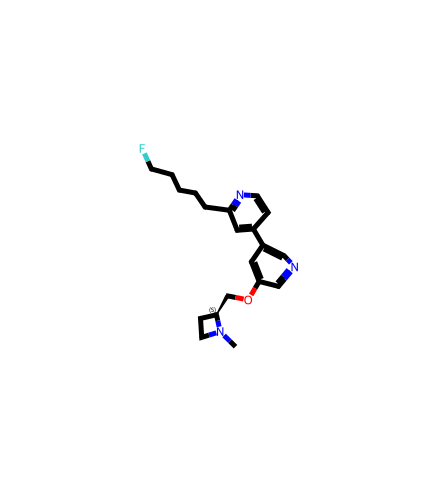 CN1CC[C@H]1COc1cncc(-c2ccnc(CCCCCF)c2)c1